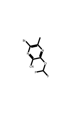 Cc1nc(OC(F)F)c(C#N)nc1Br